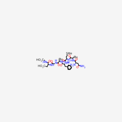 CCC(C)C(NC(=O)C(N)CC(N)=O)C(=O)NC(CCSC)C(=O)NC(Cc1ccccc1)C(=O)NC(C(=O)NCC(=O)NC(CC(=O)O)C(=O)NCC(=O)O)C(C)CC